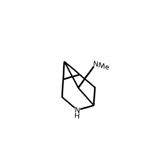 CNC1C2CC3C(CN2)C31